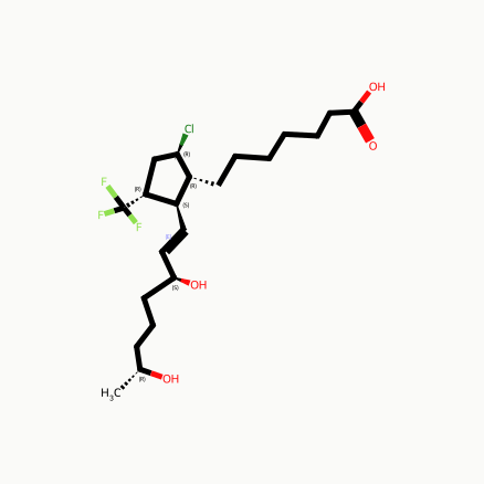 C[C@@H](O)CCC[C@H](O)/C=C/[C@@H]1[C@@H](CCCCCCC(=O)O)[C@H](Cl)C[C@H]1C(F)(F)F